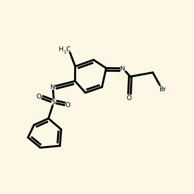 CC1=CC(=NC(=O)CBr)C=CC1=NS(=O)(=O)c1ccccc1